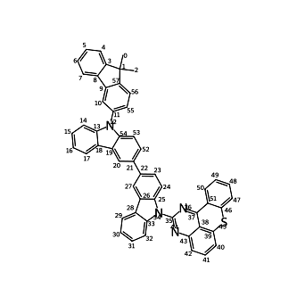 CC1(C)c2ccccc2-c2cc(-n3c4ccccc4c4cc(-c5ccc6c(c5)c5ccccc5n6-c5nc6c7c(cccc7n5)Sc5ccccc5-6)ccc43)ccc21